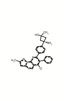 Cc1cc2ncc3c(Cl)c(-c4ccccc4)c(-c4ccc([C@]5(N)C[C@](C)(O)C5)cc4)nc3n2n1